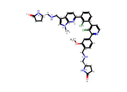 COc1cc(-c2nccc(-c3cccc(-c4ccc5c(CNC[C@@H]6CCC(=O)N6)cn(C)c5n4)c3Cl)c2Cl)ccc1CNC[C@H]1CCC(=O)N1